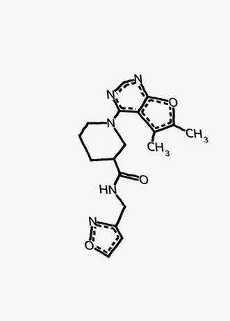 Cc1oc2ncnc(N3CCCC(C(=O)NCc4ccon4)C3)c2c1C